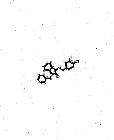 O=C1/C(=N\Cc2ccc(Cl)c(Cl)c2)c2ccccc2N1Cc1cccnc1